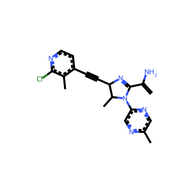 C=C(N)C1=NC(C#Cc2ccnc(Cl)c2C)C(C)N1c1cnc(C)cn1